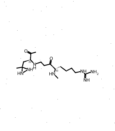 CN[C@@H](CCCCNC(=N)N)C(=O)CCN[C@@H](CC1(C)NN1)C(C)=O